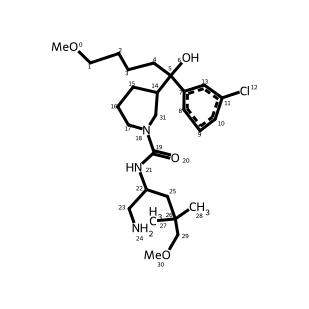 COCCCCC(O)(c1cccc(Cl)c1)C1CCCN(C(=O)NC(CN)CC(C)(C)COC)C1